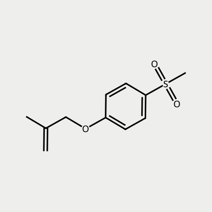 C=C(C)COc1ccc(S(C)(=O)=O)cc1